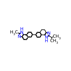 Cc1nc2ccc3cc(-c4ccc5c(c4)CCc4nc(C(C)C)[nH]c4-5)ccc3c2[nH]1